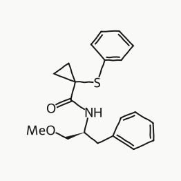 COC[C@H](Cc1ccccc1)NC(=O)C1(Sc2ccccc2)CC1